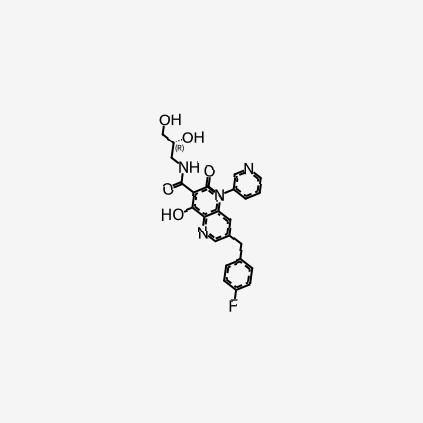 O=C(NC[C@@H](O)CO)c1c(O)c2ncc(Cc3ccc(F)cc3)cc2n(-c2cccnc2)c1=O